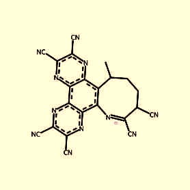 CC1CCC(C#N)/C(C#N)=N\c2c1c1nc(C#N)c(C#N)nc1c1nc(C#N)c(C#N)nc21